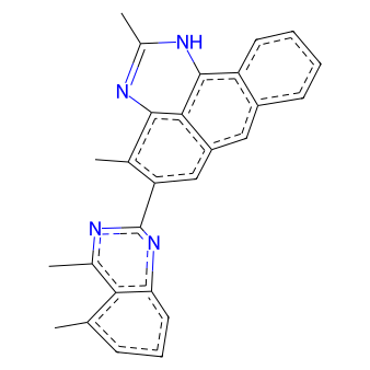 CC1=Nc2c(C)c(-c3nc(C)c4c(C)cccc4n3)cc3cc4ccccc4c(c23)N1